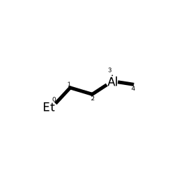 CCC[CH2][Al][CH3]